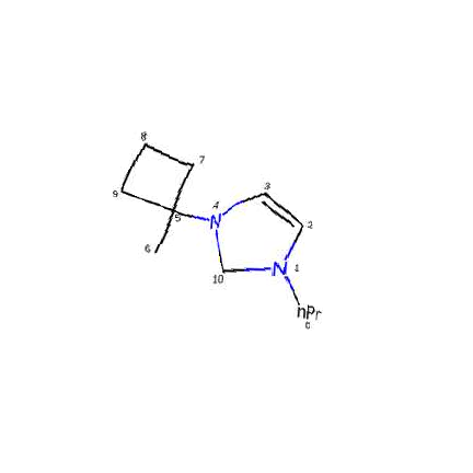 CCCN1C=CN(C2(C)CCC2)C1